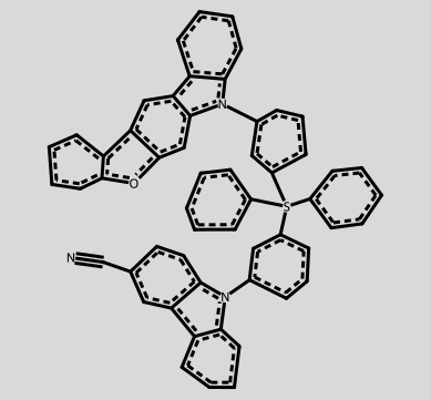 N#Cc1ccc2c(c1)c1ccccc1n2-c1cccc(S(c2ccccc2)(c2ccccc2)c2cccc(-n3c4ccccc4c4cc5c(cc43)oc3ccccc35)c2)c1